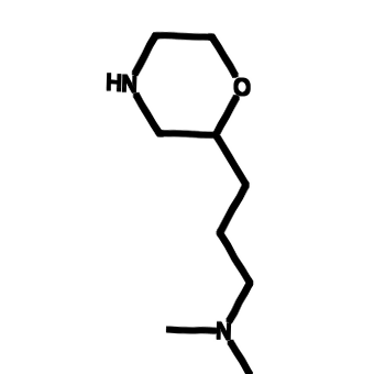 CN(C)CCCC1CNCCO1